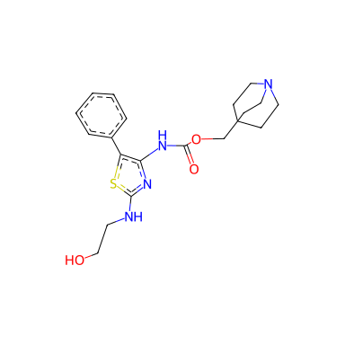 O=C(Nc1nc(NCCO)sc1-c1ccccc1)OCC12CCN(CC1)CC2